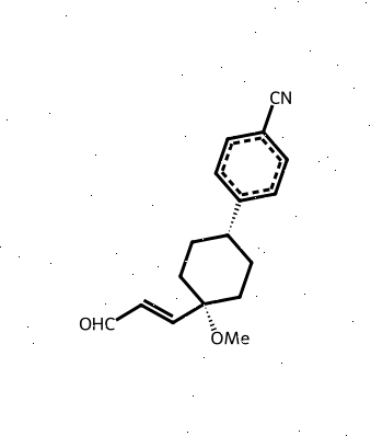 CO[C@]1(C=CC=O)CC[C@H](c2ccc(C#N)cc2)CC1